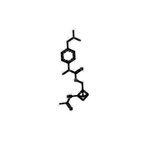 CC(=O)NC12CC(C1)C2COC(=O)C(C)c1ccc(CC(C)C)cc1